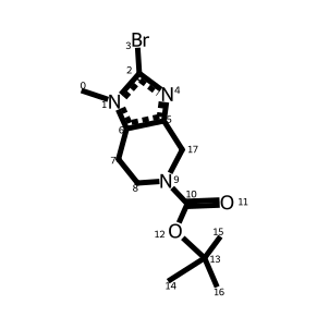 Cn1c(Br)nc2c1CCN(C(=O)OC(C)(C)C)C2